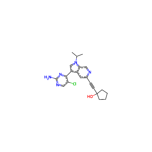 CC(C)n1cc(-c2nc(N)ncc2Cl)c2cc(C#CC3(O)CCCC3)ncc21